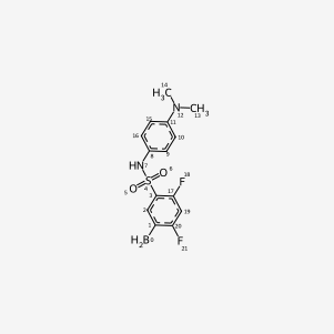 Bc1cc(S(=O)(=O)Nc2ccc(N(C)C)cc2)c(F)cc1F